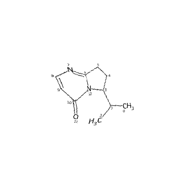 CC(C)C1CCc2nccc(=O)n21